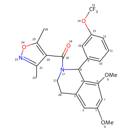 COc1cc2c(c(OC)c1)C(c1cccc(OC(F)(F)F)c1)N(C(=O)c1c(C)noc1C)CC2